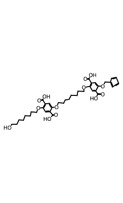 O=C(O)c1cc(OCCCCCCCCOc2cc(C(=O)O)c(OCc3ccccc3)cc2C(=O)O)c(C(=O)O)cc1OCCCCCCCCO